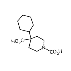 O=C(O)N1CCC(C(=O)O)(C2CCCCC2)CC1